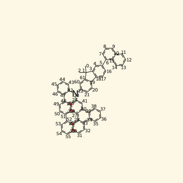 CC1(C)c2cc(-c3cccc4ccccc34)ccc2-c2ccc(N(c3ccc4c5ccccc5c5ccccc5c4c3)c3ccccc3-c3ccc(-c4ccccc4)cc3)cc21